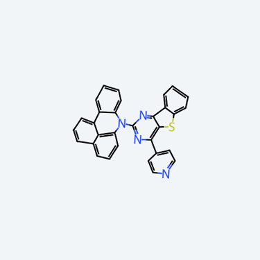 c1ccc2c(c1)-c1cccc3cccc(c13)N2c1nc(-c2ccncc2)c2sc3ccccc3c2n1